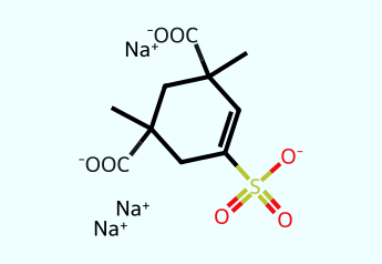 CC1(C(=O)[O-])C=C(S(=O)(=O)[O-])CC(C)(C(=O)[O-])C1.[Na+].[Na+].[Na+]